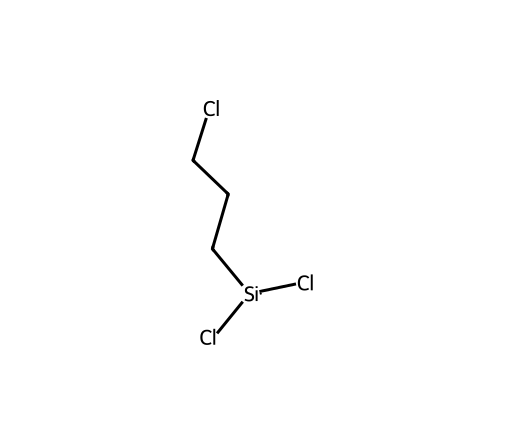 ClCCC[Si](Cl)Cl